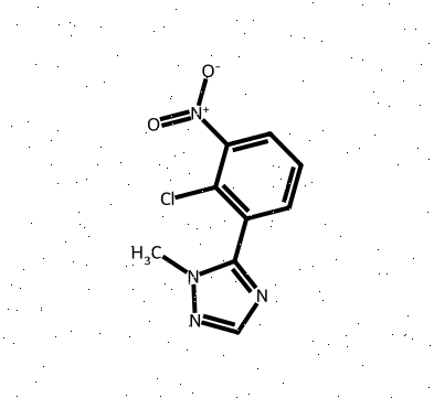 Cn1ncnc1-c1cccc([N+](=O)[O-])c1Cl